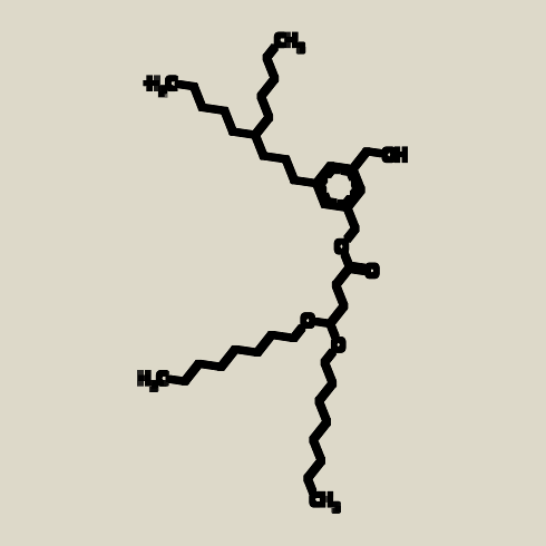 [CH2]CCCCC(CCCCC)CCCc1cc(CO)cc(COC(=O)CCC(OCCCCCCCC)OCCCCCCCC)c1